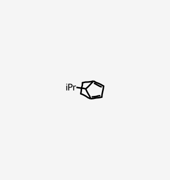 CC(C)C1C2=CC=C1CC2